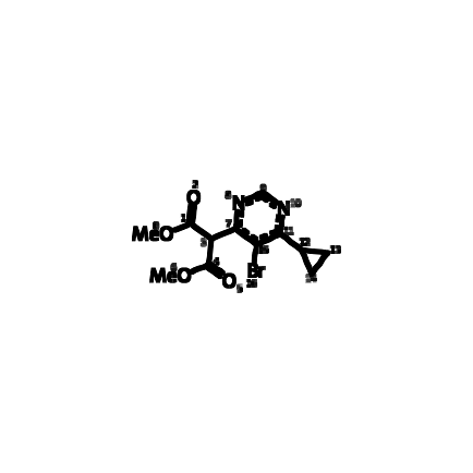 COC(=O)C(C(=O)OC)c1ncnc(C2CC2)c1Br